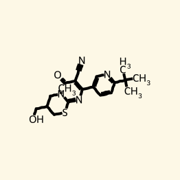 CN1CC(CO)CS/C1=N/C(=C(/C#N)C=O)c1ccc(C(C)(C)C)nc1